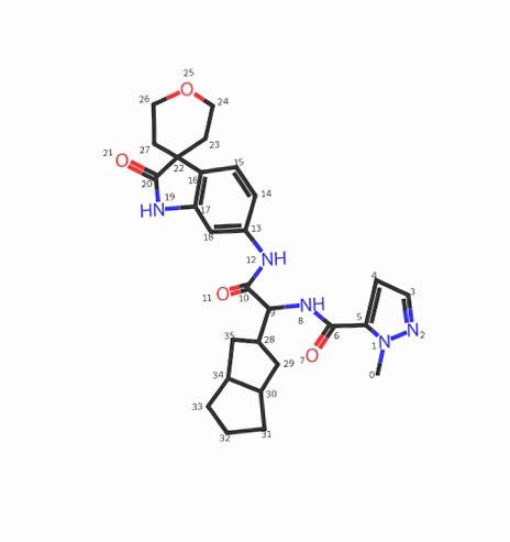 Cn1nccc1C(=O)NC(C(=O)Nc1ccc2c(c1)NC(=O)C21CCOCC1)C1CC2CCCC2C1